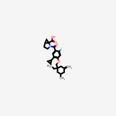 C=C1CC(C)CC(CC)(COc2cc(F)c(C(=O)N3CCC4CC43C(=O)O)cc2C2CC2)C1